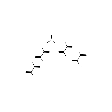 CCN(CC)CC.O=C(O)C(=O)O.O=C(O)C(=O)O.O=C(O)C(=O)O.O=C(O)C(=O)O